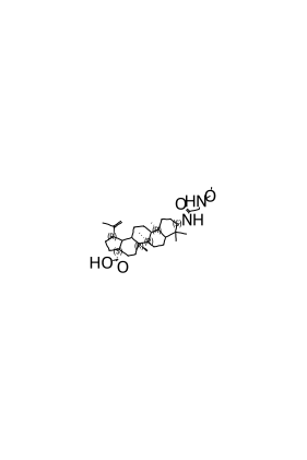 C=C(C)[C@@H]1CC[C@]2(C(=O)O)CC[C@]3(C)C(CCC4[C@@]5(C)CC[C@H](NC(=O)CNOC)C(C)(C)C5CC[C@]43C)C12